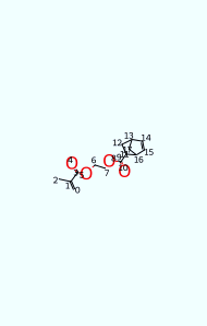 C=C(C)C(=O)OCCOC(=O)C1CC2C=CC1C2